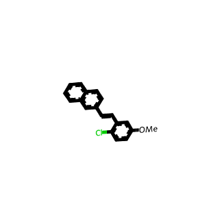 COc1ccc(Cl)c(/C=C/c2ccc3ccccc3c2)c1